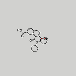 O=C(O)c1ccc2ccc(C(=O)O)c(C(=O)N(C3CCCCC3)C3CCCCC3)c2c1